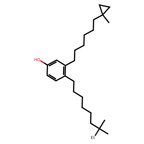 CCC(C)(C)CCCCCCc1ccc(O)cc1CCCCCCC1(C)CC1